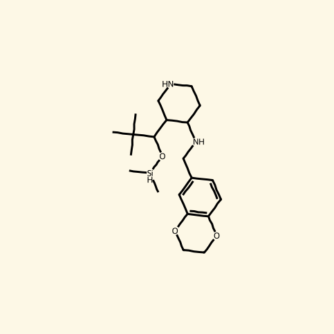 C[SiH](C)OC(C1CNCCC1NCc1ccc2c(c1)OCCO2)C(C)(C)C